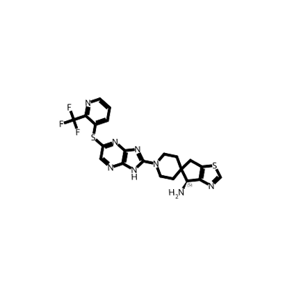 N[C@@H]1c2ncsc2CC12CCN(c1nc3nc(Sc4cccnc4C(F)(F)F)cnc3[nH]1)CC2